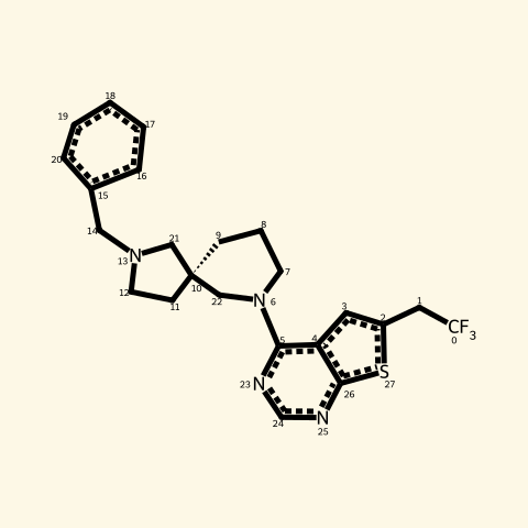 FC(F)(F)Cc1cc2c(N3CCC[C@@]4(CCN(Cc5ccccc5)C4)C3)ncnc2s1